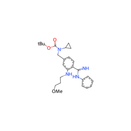 COCCCNc1cc(CN(C(=O)OC(C)(C)C)C2CC2)ccc1C(=N)Nc1ccccc1